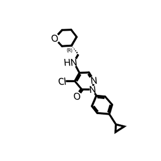 O=c1c(Cl)c(NC[C@H]2CCCOC2)cnn1-c1ccc(C2CC2)cc1